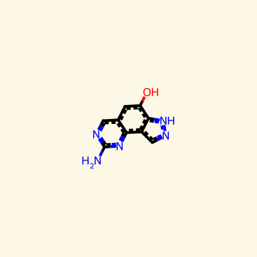 Nc1ncc2cc(O)c3[nH]ncc3c2n1